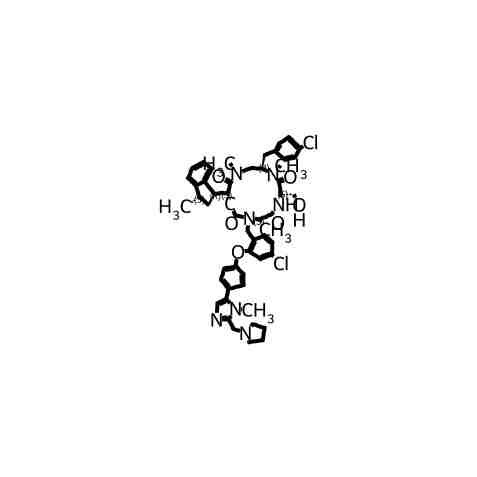 C[C@H]1C[C@H]([C@@H]2CC(=O)N(Cc3ccc(Cl)cc3Oc3ccc(-c4cnc(CN5CCCC5)n4C)cc3)[C@@H](C)C(=O)N[C@@H](CO)C(=O)N(C)[C@H](Cc3ccc(Cl)cc3)CN(C)C2=O)c2ccccc21